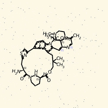 C=C(/C=N\C(=C\c1c2c3c(F)c(ccc3n1CC(F)(F)F)-c1csc(n1)C[C@H](N)C(=O)N1CCC[C@H](N1)C(=O)OCC(C)(C)C2)[C@H](C)OC)N1CCN(C)CC1